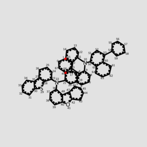 c1ccc(-c2ccccc2N(c2ccccc2-c2cccc(N(c3cccc4c3sc3ccccc34)c3cccc4oc5ccccc5c34)c2)c2ccc(-c3ccccc3)c3ccccc23)cc1